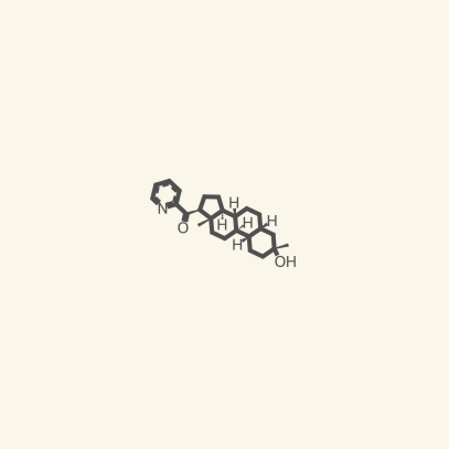 C[C@@]1(O)CC[C@H]2[C@H](CC[C@@H]3[C@@H]2CC[C@]2(C)[C@@H](C(=O)c4ccccn4)CC[C@@H]32)C1